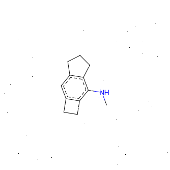 CNc1c2c(cc3c1CC3)CCC2